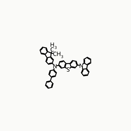 CC1(C)c2ccccc2-c2ccc(N(c3ccc(-c4ccccc4)cc3)c3ccc4c(c3)sc3cc(-n5c6ccccc6c6ccccc65)ccc34)cc21